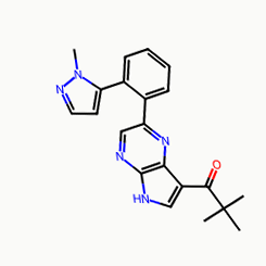 Cn1nccc1-c1ccccc1-c1cnc2[nH]cc(C(=O)C(C)(C)C)c2n1